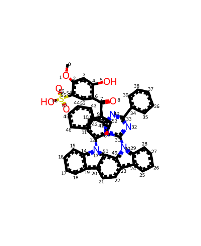 COc1cc(O)c(C(=O)c2ccc(-n3c4ccccc4c4ccc5c6ccccc6n(-c6nc(-c7ccccc7)nc(-c7ccccc7)n6)c5c43)cc2)cc1S(=O)(=O)O